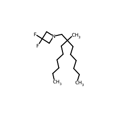 CCCCCCC(C)(CCCCCC)CN1CC(F)(F)C1